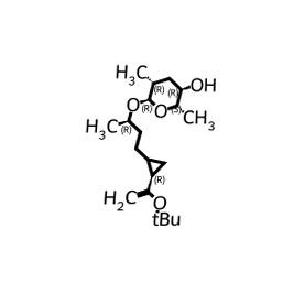 C=C(OC(C)(C)C)[C@@H]1CC1CC[C@@H](C)O[C@@H]1O[C@@H](C)[C@H](O)C[C@H]1C